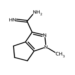 Cn1nc(C(=N)N)c2c1CCC2